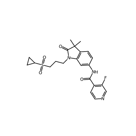 CC1(C)C(=O)N(CCCS(=O)(=O)C2CC2)c2cc(NC(=O)c3ccncc3F)ccc21